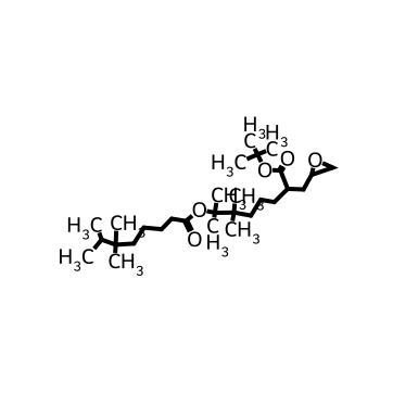 CC(C)C(C)(C)CCCCC(=O)OC(C)(C)C(C)(C)CCCC(CC1CO1)C(=O)OC(C)(C)C